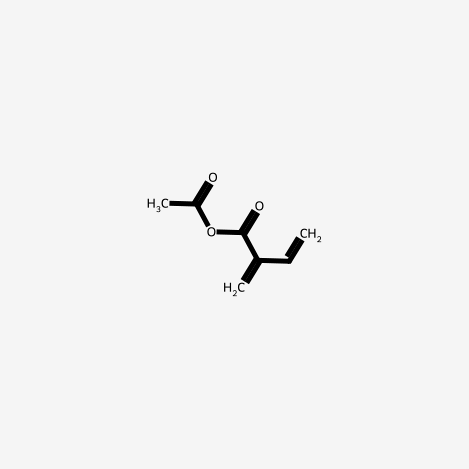 C=CC(=C)C(=O)OC(C)=O